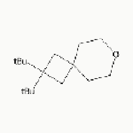 CC(C)(C)C1(C(C)(C)C)CC2(CCOCC2)C1